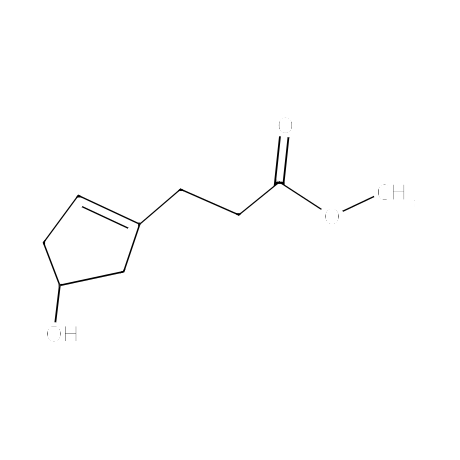 COC(=O)CCC1=CCC(O)C1